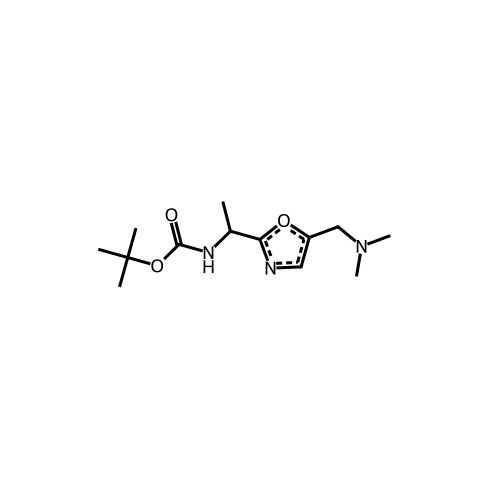 CC(NC(=O)OC(C)(C)C)c1ncc(CN(C)C)o1